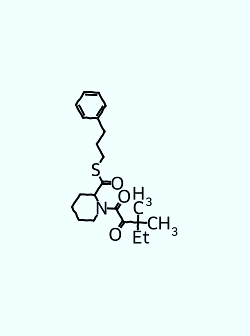 CCC(C)(C)C(=O)C(=O)N1CCCCC1C(=O)SCCCc1ccccc1